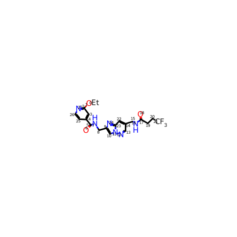 CCOc1cc(C(=O)NCc2cn3ncc(CNC(=O)CCC(F)(F)F)cc3n2)ccn1